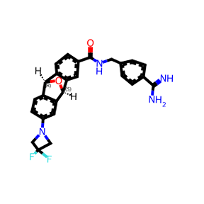 N=C(N)c1ccc(CNC(=O)c2ccc3c(c2)[C@@H]2O[C@H]3c3ccc(N4CC(F)(F)C4)cc32)cc1